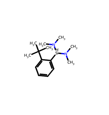 CN(C)[SiH](c1ccccc1C(C)(C)C)N(C)C